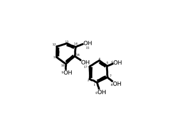 Oc1cccc(O)c1O.Oc1cccc(O)c1O